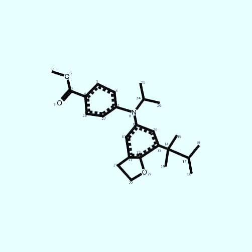 COC(=O)c1ccc(N(c2cc3c(c(C(C)(C)C(C)C)c2)OCC3)C(C)C)cc1